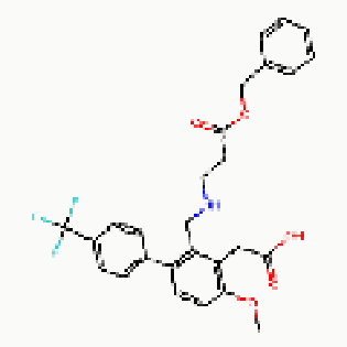 COc1ccc(-c2ccc(C(F)(F)F)cc2)c(CNCCC(=O)OCc2ccccc2)c1CC(=O)O